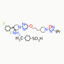 CC(C)c1noc(N2CCC(CCCOc3cnc(N4CC[C@H](c5cc(F)ccc5F)[C@@H](N)C4)nc3)CC2)n1.Cc1ccc(S(=O)(=O)O)cc1